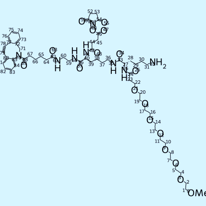 COCCOCCOCCOCCOCCOCCOCCOCCC(=O)N[C@@H](CCCCN)C(=O)NCCCC[C@H](NC(=O)CCC(=O)ON1C(=O)CCC1=O)C(=O)NCCNC(=O)CCCCC(=O)N1Cc2ccccc2C#Cc2ccccc21